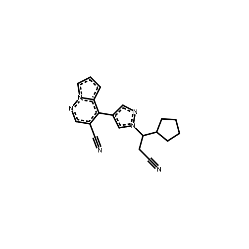 N#CCC(C1CCCC1)n1cc(-c2c(C#N)cnn3cccc23)cn1